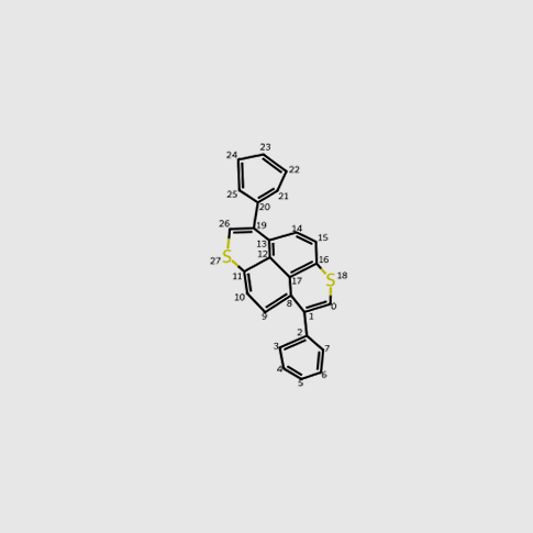 C1=C(c2ccccc2)c2ccc3c4c(ccc(c24)S1)C(c1ccccc1)=CS3